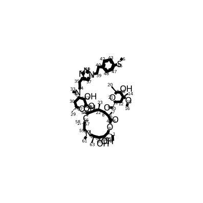 CC[C@H]1OC(=O)[C@H](C)[C@@H](OC[C@H]2C[C@@](C)(OC)[C@@H](O)[C@H](C)O2)[C@H](C)[C@@H](O[C@@H]2O[C@H](C)C[C@H](N(C)CCc3cn(CCc4ccc(SC)cc4)nn3)[C@H]2O)[C@](C)(O)C[C@@H](C)CN(C)[C@H](C)[C@@H](O)[C@]1(C)O